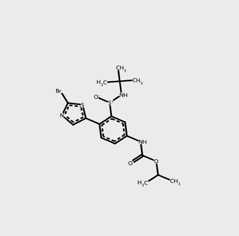 CC(C)OC(=O)Nc1ccc(-c2cnc(Br)s2)c([S+]([O-])NC(C)(C)C)c1